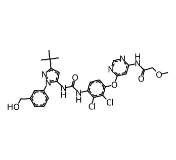 COCC(=O)Nc1cc(Oc2ccc(NC(=O)Nc3cc(C(C)(C)C)nn3-c3cccc(CO)c3)c(Cl)c2Cl)ncn1